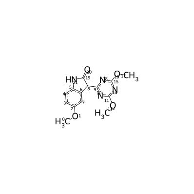 COc1ccc2c(c1)C(c1nc(OC)nc(OC)n1)C(=O)N2